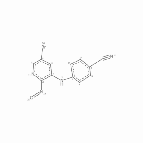 N#Cc1ccc(Nc2cc(Br)cnc2N=O)cc1